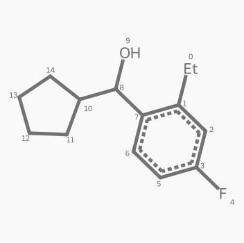 CCc1cc(F)ccc1C(O)C1CCCC1